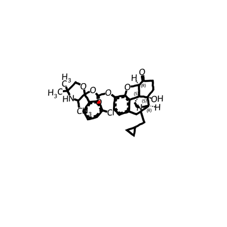 CC1NC(C)(C)COC1(OC(=O)Oc1ccc2c3c1O[C@H]1C(=O)CC[C@@]4(O)[C@@H](C2)N(CC2CC2)CC[C@]314)c1cccc(Cl)c1